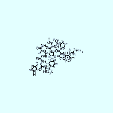 C[C@@H](O)[C@H](NC(=O)CN)C(=O)N[C@@H](CC(=O)O)C(=O)N1CCC[C@H]1C(=O)N[C@H](C(=O)N1CCC[C@H]1C(=O)N[C@@H](CCC(N)=O)C(=O)N[C@@H](Cc1c[nH]cn1)C(=O)N[C@@H](Cc1ccc(O)cc1)C(=O)O)[C@@H](C)O